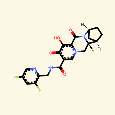 O=C(NCc1ncc(F)cc1F)c1cn2c(c(O)c1=O)C(=O)N1[C@H]3CC[C@H](C3)[C@@H]1C2